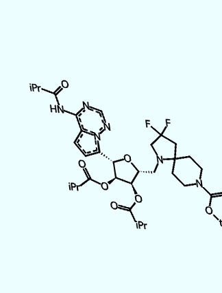 CC(C)C(=O)Nc1ncnn2c([C@@H]3O[C@H](CN4CC(F)(F)CC45CCN(C(=O)OC(C)(C)C)CC5)[C@@H](OC(=O)C(C)C)[C@H]3OC(=O)C(C)C)ccc12